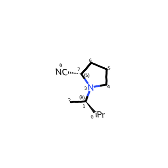 CC(C)[C@@H](C)N1CCC[C@H]1C#N